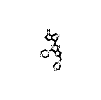 c1cc2c(-c3nc(N4CCOCC4)c4sc(CN5CCOCC5)cc4n3)cncc2[nH]1